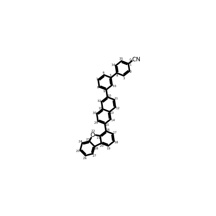 N#Cc1ccc(-c2cccc(-c3ccc4cc(-c5cccc6c5oc5ccccc56)ccc4c3)c2)cc1